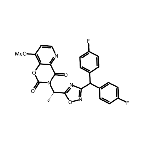 COc1ccnc2c(=O)n([C@@H](C)c3nc(C(c4ccc(F)cc4)c4ccc(F)cc4)no3)c(=O)oc12